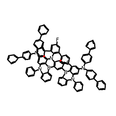 Fc1cc(-c2ccccc2)c(N2c3cc4c(cc3B3c5ccccc5N(c5ccccc5)c5cc(N(c6ccc(-c7ccccc7)cc6)c6ccc(-c7ccccc7)cc6)cc2c53)B2c3ccccc3N(c3ccccc3)c3cc(N(c5ccc(-c6ccccc6)cc5)c5ccc(-c6ccccc6)cc5)cc(c32)S4)c(-c2ccccc2)c1